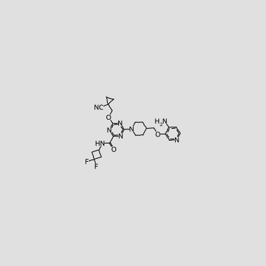 N#CC1(COc2nc(C(=O)NC3CC(F)(F)C3)nc(N3CCC(COc4cnccc4N)CC3)n2)CC1